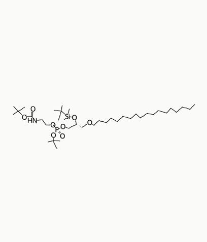 CCCCCCCCCCCCCCCCCCOC[C@H](COP(=O)(OCCNC(=O)OC(C)(C)C)OC(C)(C)C)O[Si](C)(C)C(C)(C)C